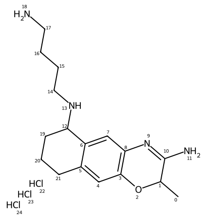 CC1Oc2cc3c(cc2N=C1N)C(NCCCCN)CCC3.Cl.Cl.Cl